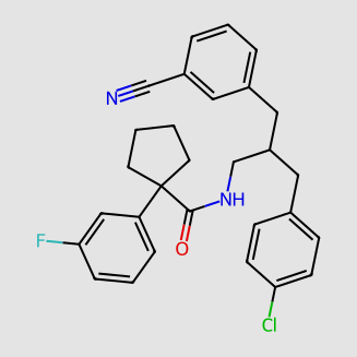 N#Cc1cccc(CC(CNC(=O)C2(c3cccc(F)c3)CCCC2)Cc2ccc(Cl)cc2)c1